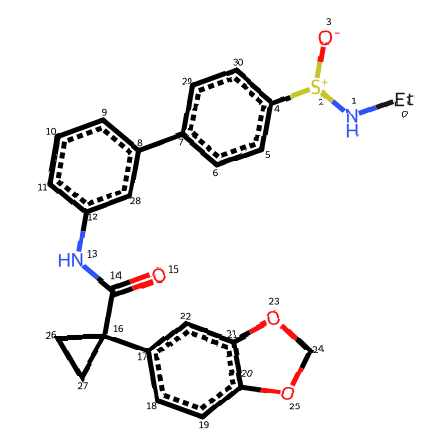 CCN[S+]([O-])c1ccc(-c2cccc(NC(=O)C3(c4ccc5c(c4)OCO5)CC3)c2)cc1